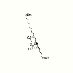 CC1CO1.CCCCCCCCCCCCCCCCCCNCCCCCCCCCCCCCCCCCC.O=P(O)(O)O